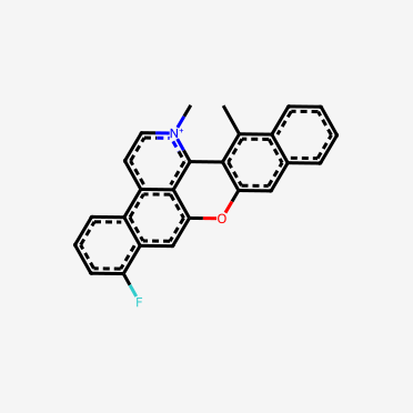 Cc1c2c(cc3ccccc13)Oc1cc3c(F)cccc3c3cc[n+](C)c-2c13